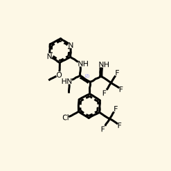 CN/C(Nc1nccnc1OC)=C(/C(=N)C(F)(F)F)c1cc(Cl)cc(C(F)(F)F)c1